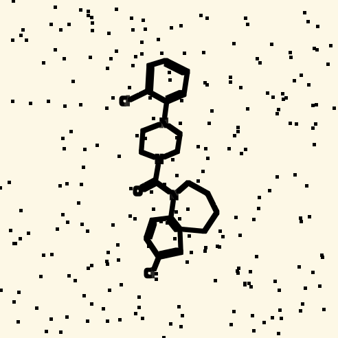 O=C(N1CCN(c2ccccc2Cl)CC1)N1CCCCc2cc(Cl)ccc21